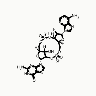 Nc1nc2c(ncn2[C@@H]2O[C@@H]3CO[P@@](=O)(S)O[C@@H]4C(F)[C@H](n5cnc6c(N)ccnc65)O[C@@H]4CO[P@@](=O)(S)OC2[C@H]3O)c(=O)[nH]1